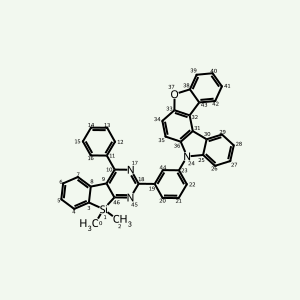 C[Si]1(C)c2ccccc2-c2c(-c3ccccc3)nc(-c3cccc(-n4c5ccccc5c5c6c(ccc54)oc4ccccc46)c3)nc21